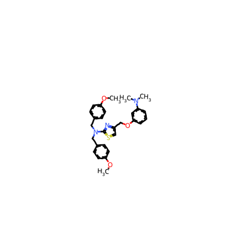 COc1ccc(CN(Cc2ccc(OC)cc2)c2nc(COc3cccc(N(C)C)c3)cs2)cc1